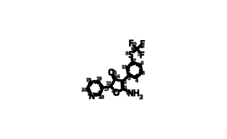 NC1=C(c2cccc(SC(F)(F)F)c2)C(=O)C(c2cccnc2)O1